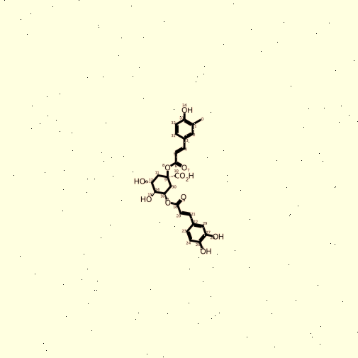 Cc1cc(/C=C/C(=O)O[C@]2(C(=O)O)C[C@@H](O)[C@H](O)[C@H](OC(=O)/C=C/c3ccc(O)c(O)c3)C2)ccc1O